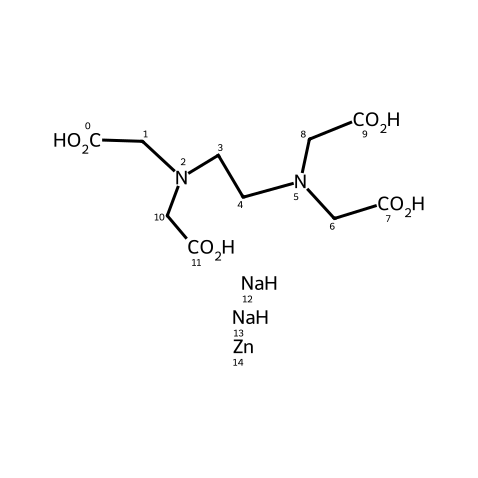 O=C(O)CN(CCN(CC(=O)O)CC(=O)O)CC(=O)O.[NaH].[NaH].[Zn]